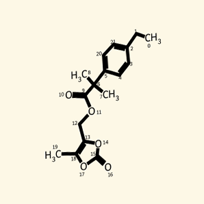 CCc1ccc(C(C)(C)C(=O)OCc2oc(=O)oc2C)cc1